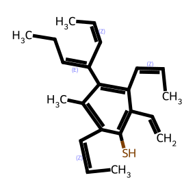 C=Cc1c(S)c(/C=C\C)c(C)c(C(/C=C\C)=C/CC)c1/C=C\C